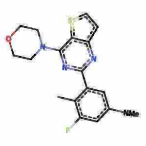 CNc1cc(F)c(C)c(-c2nc(N3CCOCC3)c3sccc3n2)c1